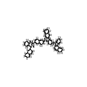 c1ccc2cc(-c3nc(-c4ccc5cc(-n6c7ccc(-n8c9ccccc9c9c%10ccccc%10ccc98)cc7c7cc8ccccc8cc76)ccc5c4)nc4ccccc34)ccc2c1